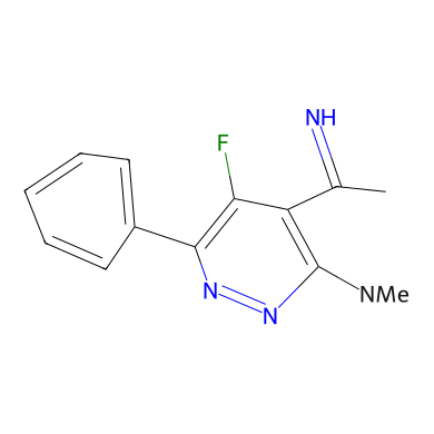 CNc1nnc(-c2ccccc2)c(F)c1C(C)=N